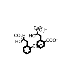 O=C([O-])c1ccccc1CC(O)C(=O)O.O=C([O-])c1ccccc1CC(O)C(=O)O.[Ca+2]